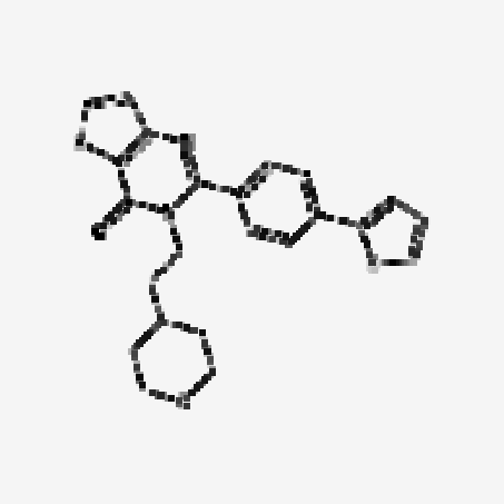 O=c1c2sccc2nc(-c2ccc(-c3cccs3)cc2)n1CCC1CCOCC1